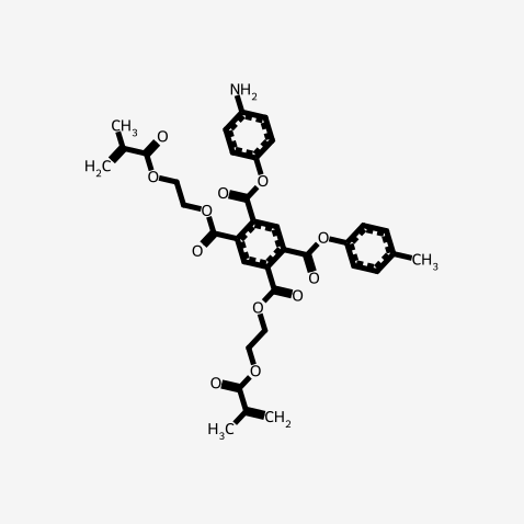 C=C(C)C(=O)OCCOC(=O)c1cc(C(=O)OCCOC(=O)C(=C)C)c(C(=O)Oc2ccc(N)cc2)cc1C(=O)Oc1ccc(C)cc1